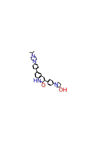 CC(C)N1CCN(c2ccc(-c3ccc4[nH]c(=O)c(-c5ccc(N6CC[C@@H](O)C6)cc5)cc4c3)cc2)CC1